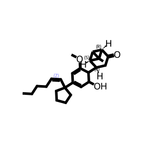 CCCC/C=C\C1(C2=CC(O)C([C@@H]3CC(=O)[C@@H]4C5[C@H]3C54C)C(OC)=C2)CCCC1